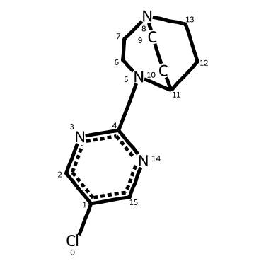 Clc1cnc(N2CCN3CCC2CC3)nc1